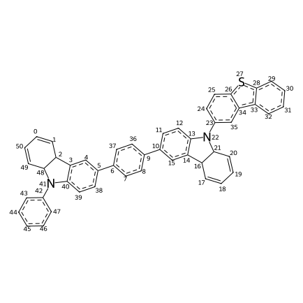 C1=CC2c3cc(-c4ccc(-c5ccc6c(c5)C5C=CC=CC5N6c5ccc6sc7ccccc7c6c5)cc4)ccc3N(c3ccccc3)C2C=C1